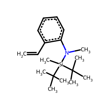 C=Cc1ccccc1N(C)[Si](C)(C(C)(C)C)C(C)(C)C